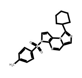 Cc1ccc(S(=O)(=O)n2ccc3c2ncc2cnc(C4CCCCC4)n23)cc1